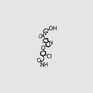 CNC(=O)Cc1ccc(Oc2ccnc3cc(C(=O)N4CCC(O)C4)sc23)cc1Cl